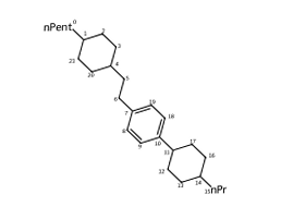 CCCCCC1CCC(CCc2ccc(C3CCC(CCC)CC3)cc2)CC1